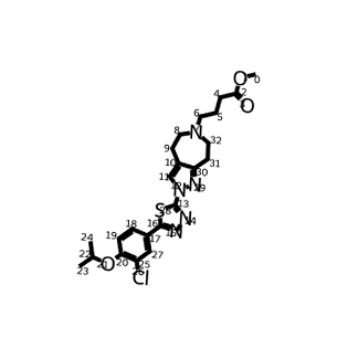 COC(=O)CCCN1CCc2cn(-c3nnc(-c4ccc(OC(C)C)c(Cl)c4)s3)nc2CC1